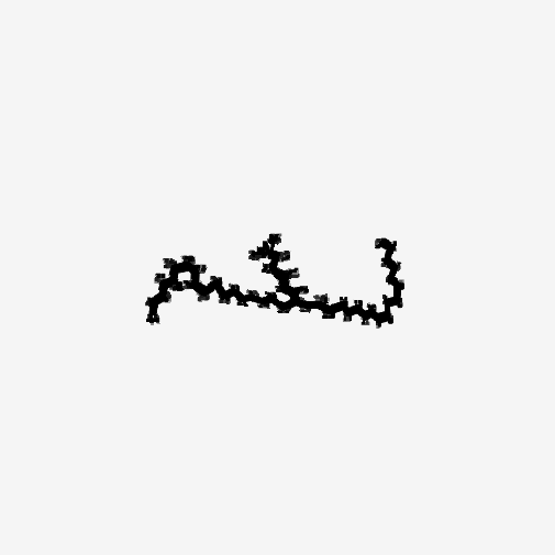 CCCCC/C=C\C/C=C\CCCCCCCCC(C=CCCCN(C)C)CCCCCCCC/C=C\C/C=C\CCCCC